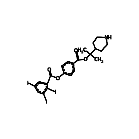 CC(C)(OC(=O)c1ccc(OC(=O)c2cc(I)cc(I)c2I)cc1)C1CCNCC1